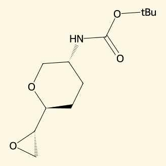 CC(C)(C)OC(=O)N[C@@H]1CC[C@@H]([C@@H]2CO2)OC1